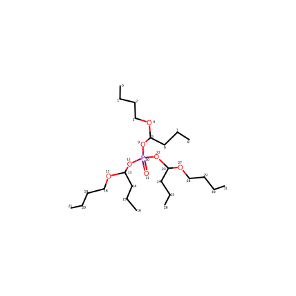 CCCCOC(CCC)OP(=O)(OC(CCC)OCCCC)OC(CCC)OCCCC